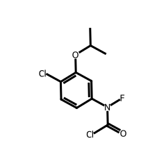 CC(C)Oc1cc(N(F)C(=O)Cl)ccc1Cl